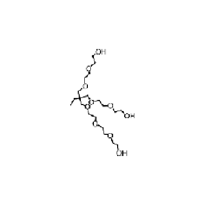 CCC(COCCOCCO)(COCCOCCO)COCCOCCOCCO